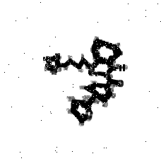 [2H]C(c1ccccc1OCCCCc1nn[nH]n1)N(C(=O)c1ccc(-c2ccco2)cc1)C(C)C